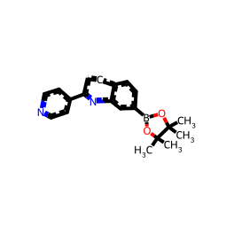 CC1(C)OB(c2ccc3ccc(-c4ccncc4)nc3c2)OC1(C)C